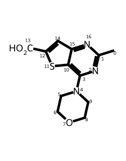 Cc1nc(N2CCOCC2)c2sc(C(=O)O)cc2n1